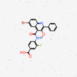 COc1c(-c2ccccc2)nc2ccc(Br)cc2c1C(=O)Nc1ccc(C(=O)O)cc1F